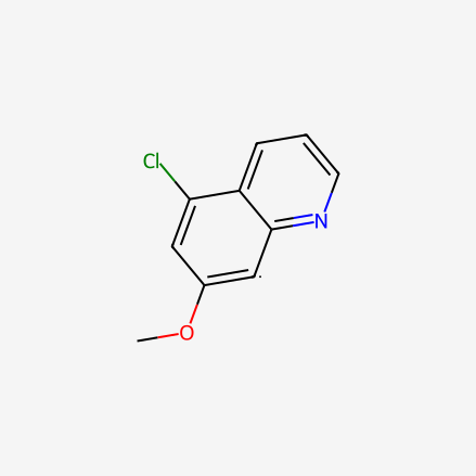 COc1[c]c2ncccc2c(Cl)c1